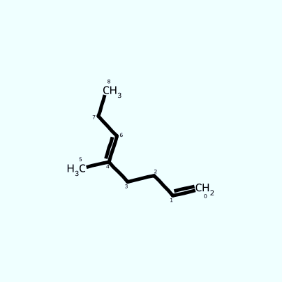 C=CCCC(C)=CCC